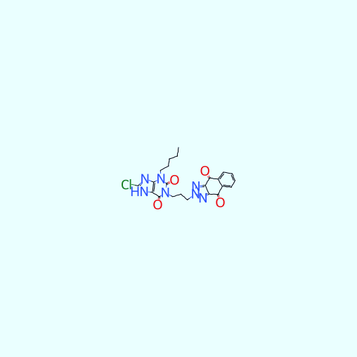 CCCCCn1c(=O)n(CCCn2nc3c(n2)C(=O)c2ccccc2C3=O)c(=O)c2[nH]c(Cl)nc21